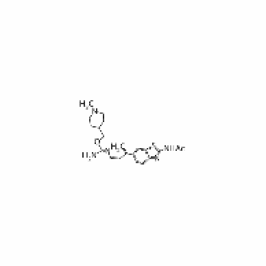 C=C(/C=C\N=C(/N)OCC1CCN(C)CC1)c1ccc2nc(NC(C)=O)sc2c1